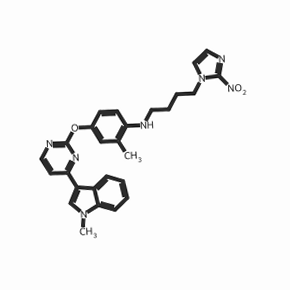 Cc1cc(Oc2nccc(-c3cn(C)c4ccccc34)n2)ccc1NCCCCn1ccnc1[N+](=O)[O-]